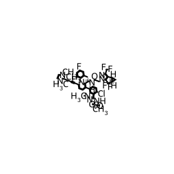 Cn1ccnc1C(C)(C)C#Cc1ccc(-c2ccc(Cl)c3c(NS(C)(=O)=O)nn(C)c23)c([C@H](Cc2cc(F)cc(F)c2)NC(=O)Cn2nc(C(F)F)c3c2C(F)(F)[C@@H]2C[C@H]32)n1